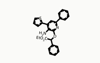 CCOC(=O)C(Oc1nc(-c2ccccc2)cc(-c2cccs2)c1N)c1ccccc1